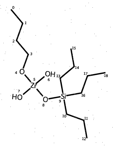 CCCC[O][Zr]([OH])([OH])[O][Si](CCC)(CCC)CCC